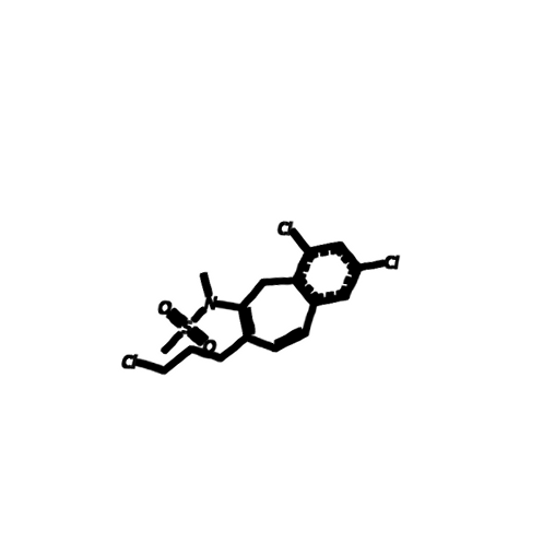 CN(C1=C(CCCCl)C=Cc2cc(Cl)cc(Cl)c2C1)S(C)(=O)=O